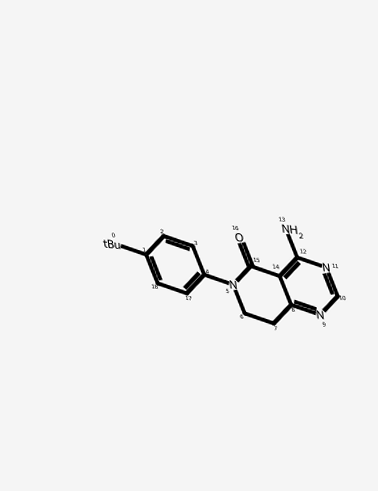 CC(C)(C)c1ccc(N2CCc3ncnc(N)c3C2=O)cc1